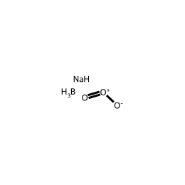 B.O=[O+][O-].[NaH]